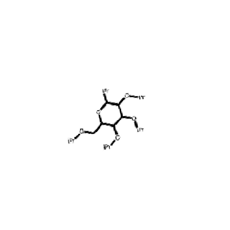 CC(C)OCC1OC(C(C)C)C(OC(C)C)C(OC(C)C)C1OC(C)C